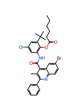 CCCCCC(=O)Oc1c(NC(=O)c2c(C)c(-c3ccccc3)nc3ccc(Br)cc23)cc(Cl)cc1C(C)(C)C